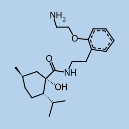 CC(C)[C@@H]1CC[C@@H](C)C[C@@]1(O)C(=O)NCCc1ccccc1OCCN